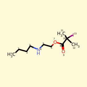 CCCCNCCOC(=O)C(C)(C)I